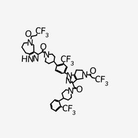 O=C(CC(F)(F)F)N1CCCc2[nH]nc(C(=O)N3CCC(c4ccc(-n5nc(C(=O)N6CCC(c7ccccc7C(F)(F)F)CC6)c6c5CCN(C(=O)CC(F)(F)F)C6)cc4C(F)(F)F)CC3)c2C1